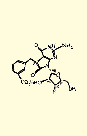 Nc1nc2c(c(=O)[nH]1)n(Cc1cccc(C(=O)O)c1)c(=O)n2[C@@H]1O[C@H](CO)[C@@H](F)[C@H]1O